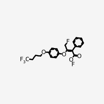 O=C(OF)C(=C(CF)Oc1ccc(OCCCC(F)(F)F)cc1)c1ccccc1